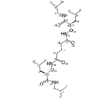 CC(C)CNC(=O)[C@@H](CC(C)C)ONC(=O)CCCC(=O)NO[C@H](CC(C)C)C(=O)NCC(C)C